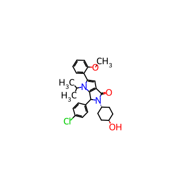 COc1ccccc1-c1cc2c(n1C(C)C)C(c1ccc(Cl)cc1)N([C@H]1CC[C@H](O)CC1)C2=O